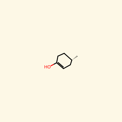 C[C@@H]1CC=C(O)CC1